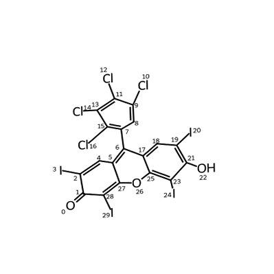 O=c1c(I)cc2c(-c3cc(Cl)c(Cl)c(Cl)c3Cl)c3cc(I)c(O)c(I)c3oc-2c1I